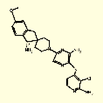 COc1ccc2c(c1)CC1(CCN(c3cnc(Sc4ccnc(N)c4Cl)c(N)n3)CC1)[C@@H]2N